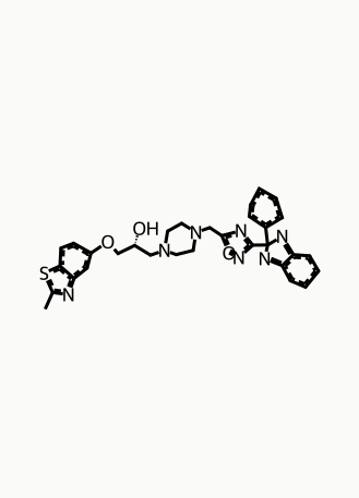 Cc1nc2cc(OC[C@H](O)CN3CCN(Cc4nc(C5(c6ccccc6)N=c6ccccc6=N5)no4)CC3)ccc2s1